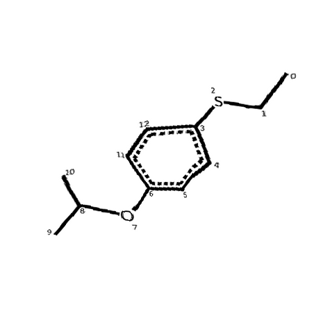 CCSc1ccc(OC(C)C)cc1